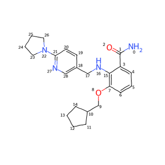 NC(=O)c1cccc(OCC2CCCC2)c1NCc1ccc(N2CCCC2)nc1